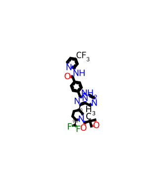 CC1(C(=O)N2C[C@H](C3=C4C=NC=C[N+]4(N)C(c4ccc(C(=O)Nc5cc(C(F)(F)F)ccn5)cc4)=N3)CC[C@@H]2C(F)F)COC1